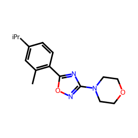 Cc1cc(C(C)C)ccc1-c1nc(N2CCOCC2)no1